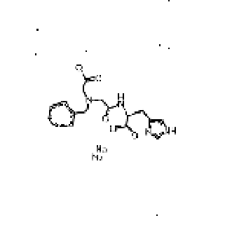 O=C([O-])CN(CC(=O)N[C@@H](Cc1c[nH]cn1)C(=O)[O-])Cc1ccccc1.[Na+].[Na+]